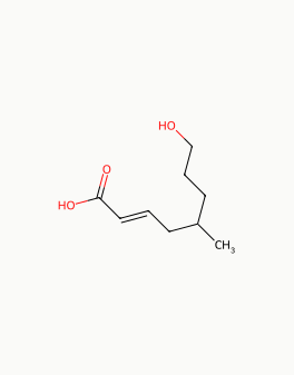 CC(CC=CC(=O)O)CCCO